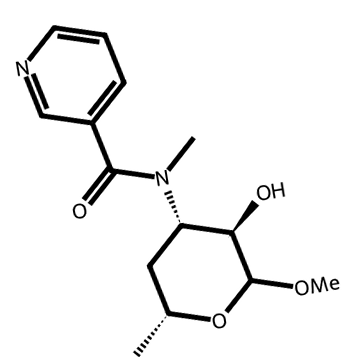 COC1O[C@H](C)C[C@H](N(C)C(=O)c2cccnc2)[C@H]1O